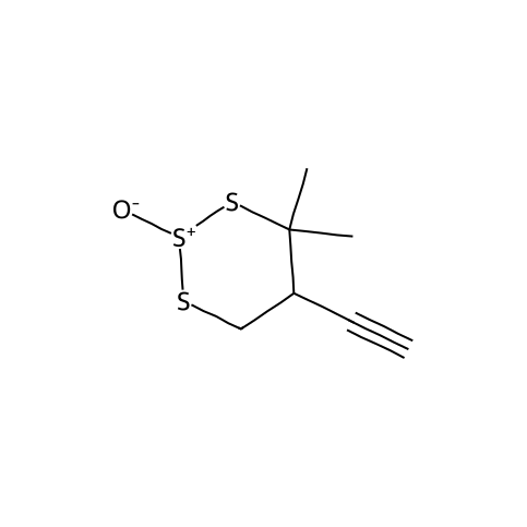 C#CC1CS[S+]([O-])SC1(C)C